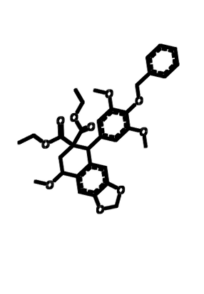 CCOC(=O)C1(C(=O)OCC)CC(OC)c2cc3c(cc2C1c1cc(OC)c(OCc2ccccc2)c(OC)c1)OCO3